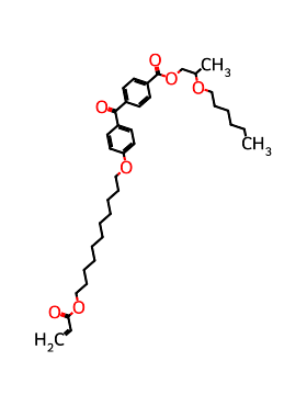 C=CC(=O)OCCCCCCCCCCCOc1ccc(C(=O)c2ccc(C(=O)OCC(C)OCCCCCC)cc2)cc1